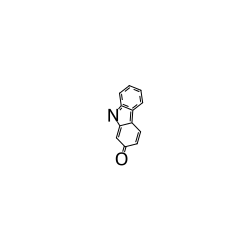 O=C1C=CC2=c3ccccc3=NC2=C1